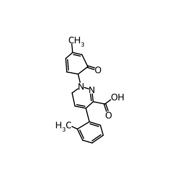 CC1=CC(=O)C(N2CC=C(c3ccccc3C)C(C(=O)O)=N2)C=C1